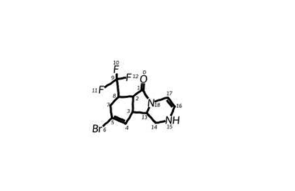 O=C1C2C(C=C(Br)CC2C(F)(F)F)C2CNC=CN12